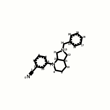 N#Cc1cccc(N2CCCC3CN(Cc4ccccc4)CC32)c1